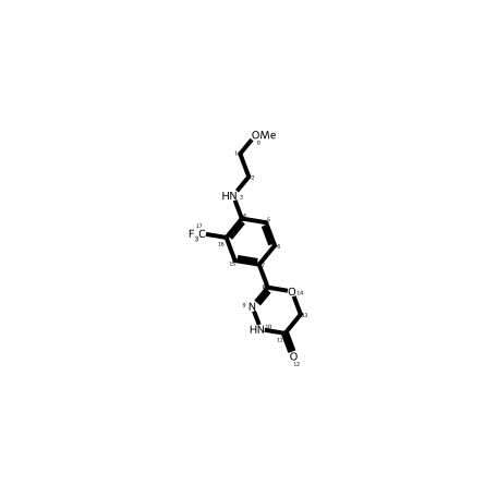 COCCNc1ccc(C2=NNC(=O)CO2)cc1C(F)(F)F